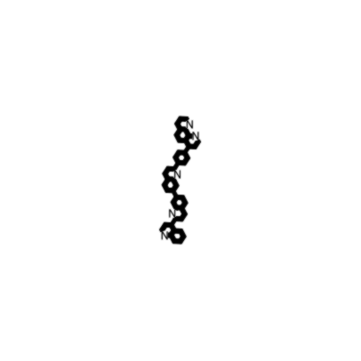 c1cnc2c(c1)ccc1c(-c3ccc(-c4ccc5ccc(-c6ccc7ccc(-c8ccnc9ccccc89)nc7c6)cc5n4)cc3)ccnc12